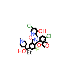 CC[C@@](O)(c1cc(F)c2c(c1)C(=O)N(Cc1ncc(Cl)cc1O)[C@@]2(O[C@H]1CCOC1)c1ccc(Cl)cc1)C1CCN(C)CC1